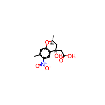 Cc1cc2c(cc1[N+](=O)[O-])[C@](O)(CC(=O)O)C[C@@H](C)O2